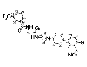 N#CCn1cc(C2CCC(N3CC(NC(=O)CNC(=O)c4cccc(C(F)(F)F)c4)C3)CC2)ccc1=O